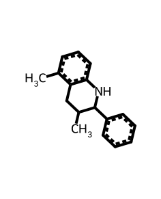 Cc1cccc2c1CC(C)C(c1ccccc1)N2